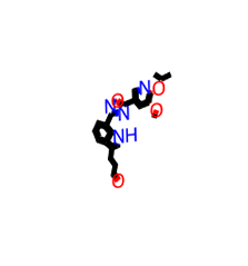 COc1cc(-c2nc(-c3cccc4c(CCC=O)c[nH]c34)no2)cnc1OC(C)C